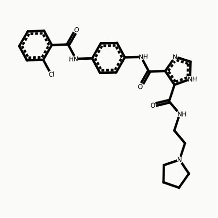 O=C(Nc1ccc(NC(=O)c2nc[nH]c2C(=O)NCCN2CCCC2)cc1)c1ccccc1Cl